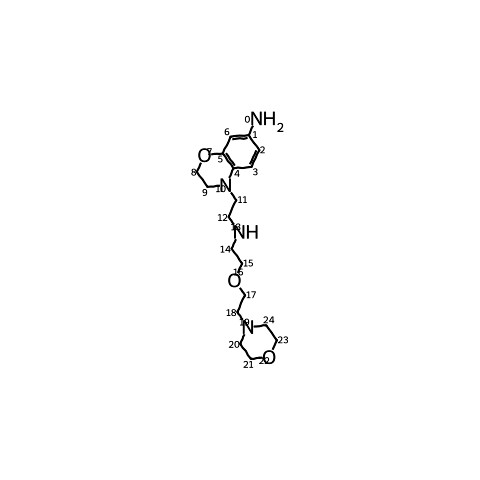 Nc1ccc2c(c1)OCCN2CCNCCOCCN1CCOCC1